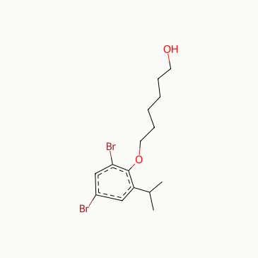 CC(C)c1cc(Br)cc(Br)c1OCCCCCCO